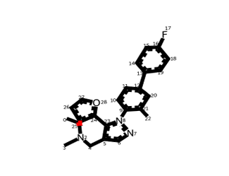 CCN(C)Cc1cnn(-c2ccc(-c3ccc(F)cc3)cc2C)c1-c1ccco1